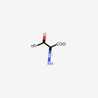 CCCC(=O)C(=[N+]=N)C(=O)[O-]